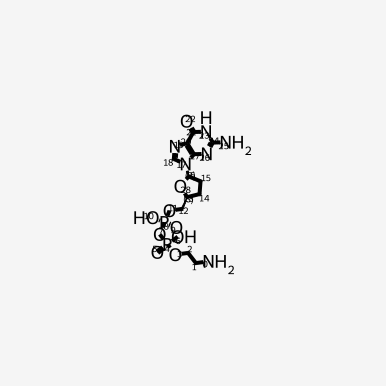 NCCOP(=O)(O)OP(=O)(O)OC[C@@H]1CC[C@H](n2cnc3c(=O)[nH]c(N)nc32)O1